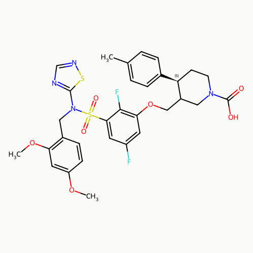 COc1ccc(CN(c2ncns2)S(=O)(=O)c2cc(F)cc(OCC3CN(C(=O)O)CC[C@@H]3c3ccc(C)cc3)c2F)c(OC)c1